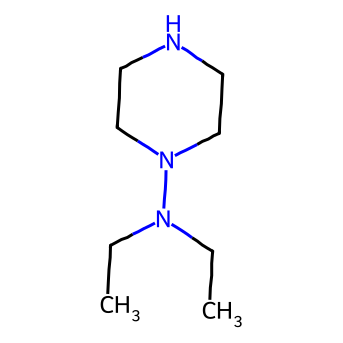 CCN(CC)N1CCNCC1